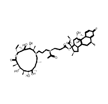 CC[C@H]1OC(=O)[C@H](C)[C@@H](O)[C@H](C)[C@@H](O)[C@](C)(O)C[C@@H](C)CN(CCCN(CCC(=O)O[C@]2(C(=O)OC)[C@H](C)CC3C4C[C@H](F)C5=CC(=O)C=C[C@]5(C)[C@@]4(F)[C@@H](O)C[C@@]32C)C(C)=O)[C@H](C)[C@@H](O)[C@]1(C)O